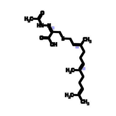 CC(=O)N/N=C(/CSC/C=C(\C)CC/C=C(\C)CCC=C(C)C)C(=O)O